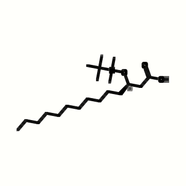 CCCCCCCCCCC[C@H](CC(=O)O)O[Si](C)(C)C(C)(C)C